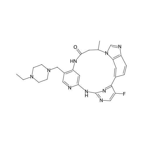 CCN1CCN(Cc2cnc3cc2NC(=O)CC(C)n2cnc4ccc(cc42)-c2nc(ncc2F)N3)CC1